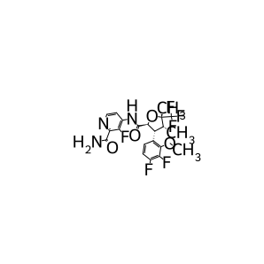 COc1c([C@@H]2[C@@H](C(=O)Nc3ccnc(C(N)=O)c3F)O[C@](C)(C(F)(F)F)[C@@H]2C)ccc(F)c1F